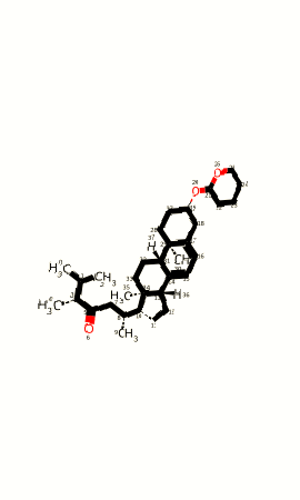 CC(C)[C@@H](C)C(=O)C[C@@H](C)[C@H]1CC[C@H]2C3=CC=C4C[C@@H](OC5CCCCO5)CC[C@]4(C)[C@H]3CC[C@]12C